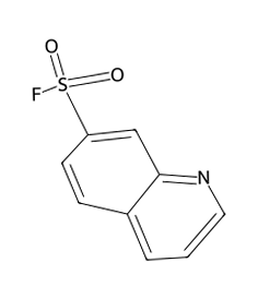 O=S(=O)(F)c1ccc2cccnc2c1